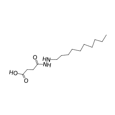 CCCCCCCCCCNNC(=O)CCC(=O)O